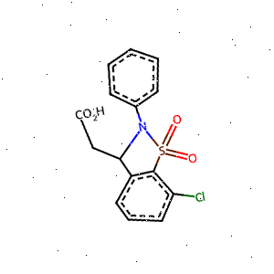 O=C(O)CC1c2cccc(Cl)c2S(=O)(=O)N1c1ccccc1